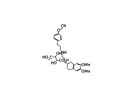 COc1cc2c(cc1OC)CC(CCCNCCCc1ccc(OCC#N)cc1)CC2.O=C(O)C(O)C(O)C(=O)O